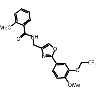 COc1ccc(-c2nc(CNC(=O)c3ccccc3OC)co2)cc1OCC(F)(F)F